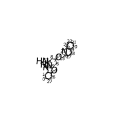 c1ccc(OCCC(Cc2nnn[nH]2)OCc2ccc3ccccc3n2)cc1